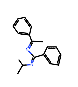 C/C(=N\C(=N/C(C)C)c1ccccc1)c1ccccc1